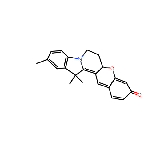 Cc1ccc2c(c1)C(C)(C)C1=C3C=C4C=CC(=O)C=C4OC3CCN12